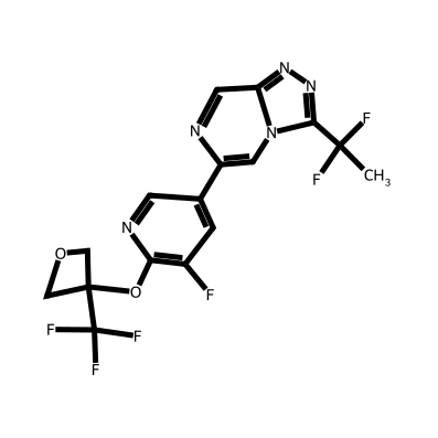 CC(F)(F)c1nnc2cnc(-c3cnc(OC4(C(F)(F)F)COC4)c(F)c3)cn12